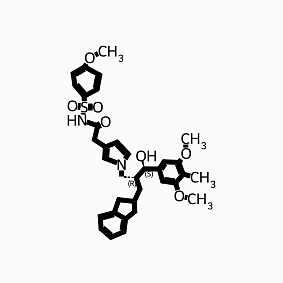 COc1ccc(S(=O)(=O)NC(=O)Cc2ccn(C[C@@H](CC3Cc4ccccc4C3)[C@H](O)c3cc(OC)c(C)c(OC)c3)c2)cc1